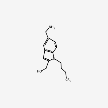 NCc1ccc2c(c1)cc(CO)n2CCCC(F)(F)F